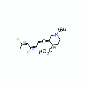 C/C(F)=C\C(F)=C/C=C=C1CN(C(C)(C)C)CC[C@H]1C(=O)O